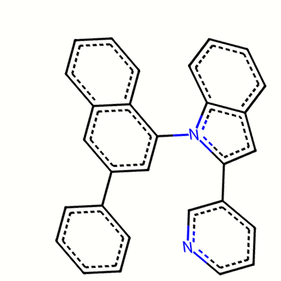 c1ccc(-c2cc(-n3c(-c4cccnc4)cc4ccccc43)c3ccccc3c2)cc1